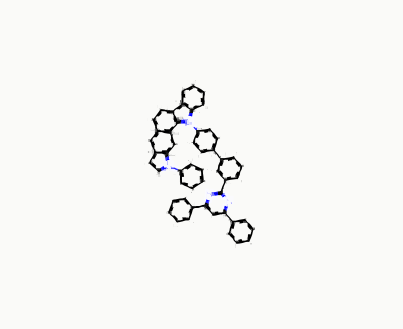 c1ccc(-c2cc(-c3ccccc3)nc(-c3cccc(-c4ccc(-n5c6ccccc6c6ccc7cc8ccn(-c9ccccc9)c8cc7c65)cc4)c3)n2)cc1